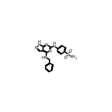 NS(=O)(=O)c1ccc(Nc2nc(NCc3ccccc3)c3cn[nH]c3n2)cc1